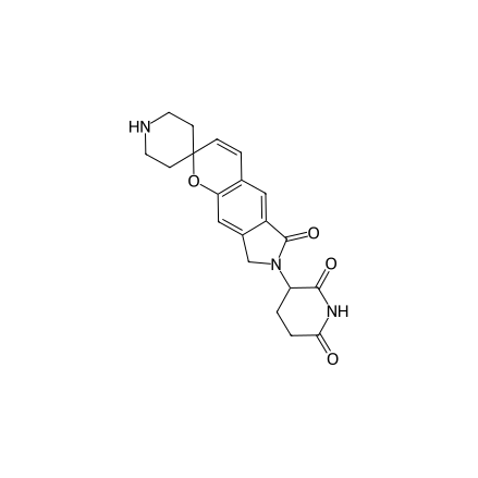 O=C1CCC(N2Cc3cc4c(cc3C2=O)C=CC2(CCNCC2)O4)C(=O)N1